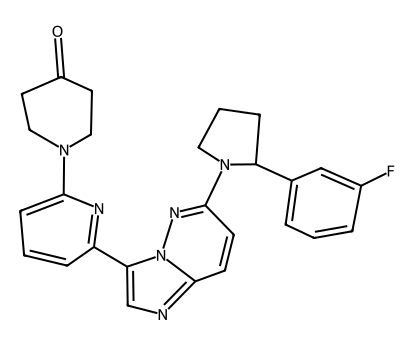 O=C1CCN(c2cccc(-c3cnc4ccc(N5CCCC5c5cccc(F)c5)nn34)n2)CC1